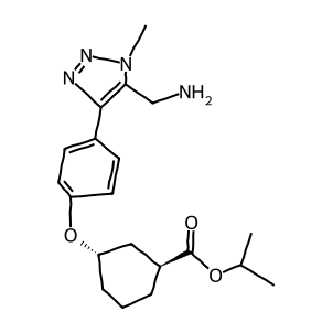 CC(C)OC(=O)[C@H]1CCC[C@H](Oc2ccc(-c3nnn(C)c3CN)cc2)C1